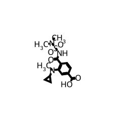 CN(c1cc(C(=O)O)ccc1C(=O)NS(=O)(=O)N(C)C)C1CC1